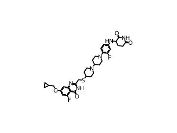 O=C1CCC(Nc2ccc(N3CCC(N4CCC(SCc5nc6cc(OCC7CC7)cc(F)c6c(=O)[nH]5)CC4)CC3)c(F)c2)C(=O)N1